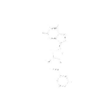 Cc1nc2c(ncn2[C@H]2C[C@@H](OC(=O)c3ccccc3)[C@@H](CO)O2)c(=O)[nH]1